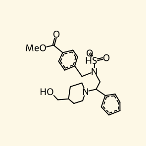 COC(=O)c1ccc(CN(CC(c2ccccc2)N2CCC(CO)CC2)[SH](=O)=O)cc1